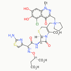 CCn1nc(C[N+]2(CC3=C(C(=O)O)N4C(=O)[C@@H](NC(=O)/C(=N\O[C@@H](CC(=O)O)C(=O)O)c5csc(N)n5)[C@H]4SC3)CCCC2)c(=O)c2c(Cl)c(O)c(O)cc21